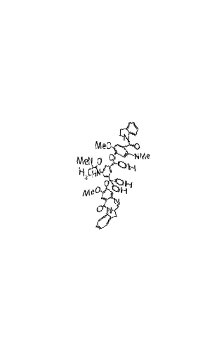 CNc1cc(OC(O)c2cc(NC(=O)C(C)NC)cc(C(O)(O)Oc3cc4c(cc3OC)C(=O)N3c5ccccc5CC3C=N4)c2)c(OC)cc1C(=O)N1CCc2ccccc21